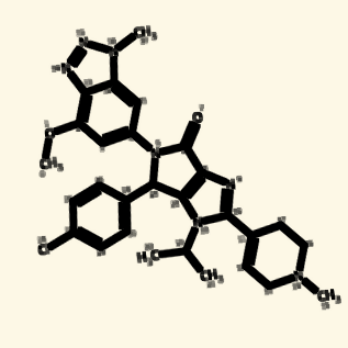 COc1cc(N2C(=O)c3nc(C4=CCN(C)CC4)n(C(C)C)c3C2c2ccc(Cl)cc2)cc2c1nnn2C